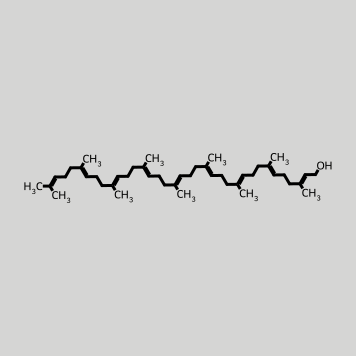 CC(C)=CCCC(C)=CCCC(C)=CCCC(C)=CCCC(C)=CCCC(C)=CCCC(C)=CCCC(C)=CCCC(C)=CCO